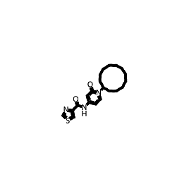 O=C(Nc1ccn(C2CCCCCCCCCCC2)c(=O)c1)c1cscn1